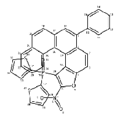 O=[N+]([O-])c1oc2ccc3c(-c4ccccc4)cc4ccc5ccccc5c4c3c2c1P(=O)(c1cccs1)c1cccs1